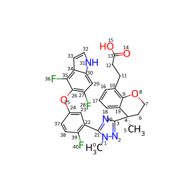 Cn1nc([C@]2(C)CCOc3c(CCC(=O)O)cccc32)nc1-c1cc(Oc2c(F)cc3[nH]ccc3c2F)ccc1F